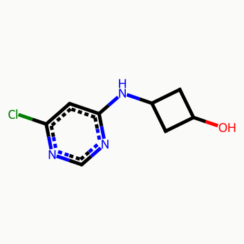 OC1CC(Nc2cc(Cl)ncn2)C1